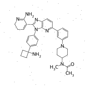 CC(=O)N(C)C1CCN(c2cccc(-c3ccc4nc(C5=CCCN=C5N)n(-c5ccc(C6(N)CCC6)cc5)c4n3)c2)CC1